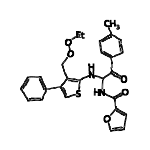 CCOOCc1c(-c2ccccc2)csc1NC(NC(=O)c1ccco1)C(=O)c1ccc(C)cc1